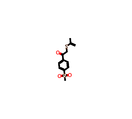 C=C(C)SCC(=O)c1ccc(S(C)(=O)=O)cc1